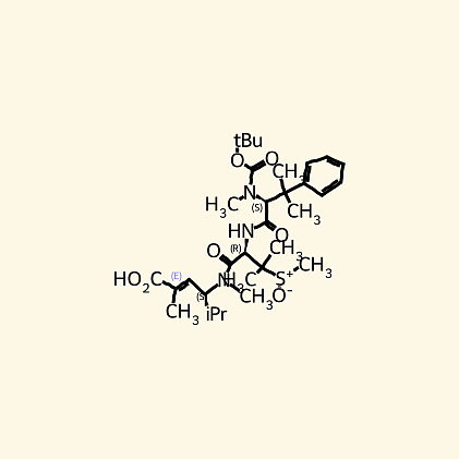 C/C(=C\[C@H](C(C)C)N(C)C(=O)[C@@H](NC(=O)[C@@H](N(C)C(=O)OC(C)(C)C)C(C)(C)c1ccccc1)C(C)(C)[S+](C)[O-])C(=O)O